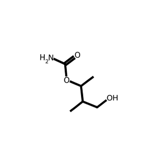 CC(CO)C(C)OC(N)=O